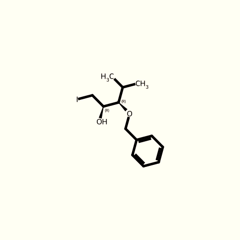 CC(C)[C@@H](OCc1ccccc1)[C@@H](O)CI